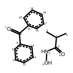 CC(C)C(=O)NO.O=C(c1ccccc1)c1ccccc1